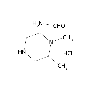 CC1CNCCN1C.Cl.NC=O